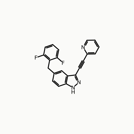 Fc1cccc(F)c1Cc1ccc2[nH]nc(C#Cc3ccccn3)c2c1